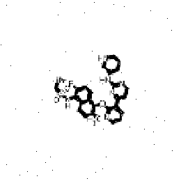 Cc1ccc2c(NS(=O)(=O)CC(C)C)c(F)ccc2c1Oc1ncccc1-c1ccnc(N[C@H]2CCCNC2)n1